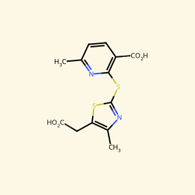 Cc1ccc(C(=O)O)c(Sc2nc(C)c(CC(=O)O)s2)n1